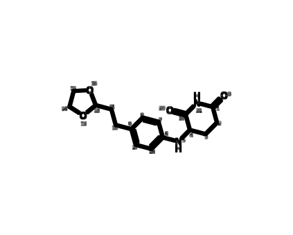 O=C1CCC(Nc2ccc(CCC3OCCO3)cc2)C(=O)N1